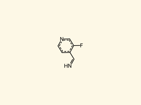 N=Cc1ccncc1F